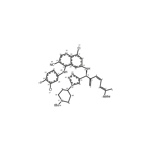 C=C(/C=C\C=C(/C)NC)[C@H](Nc1cc(Cl)c2ncc(C#N)c(Nc3ccc(F)c(Cl)c3)c2c1)c1cn(C2CCN(C(C)(C)C)CC2)nn1